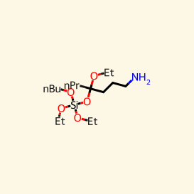 CCCCO[Si](OCC)(OCC)OC(CCC)(CCCN)OCC